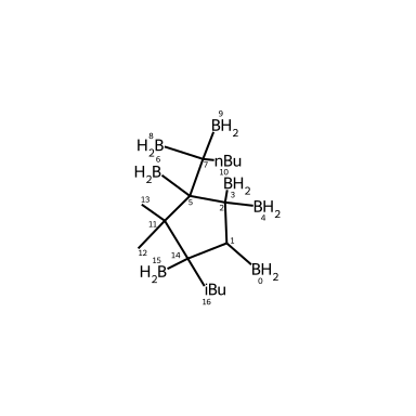 BC1C(B)(B)C(B)(C(B)(B)CCCC)C(C)(C)C1(B)C(C)CC